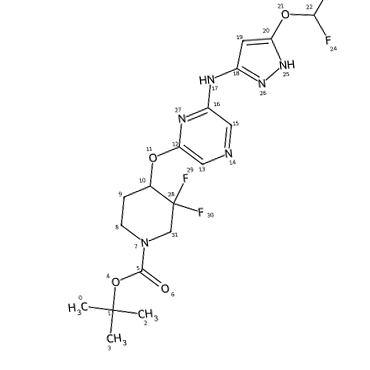 CC(C)(C)OC(=O)N1CCC(Oc2cncc(Nc3cc(OC(F)F)[nH]n3)n2)C(F)(F)C1